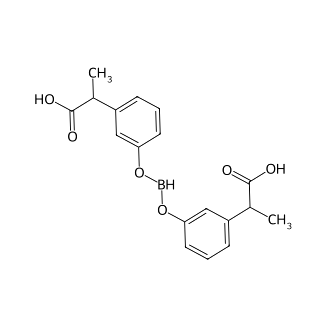 CC(C(=O)O)c1cccc(OBOc2cccc(C(C)C(=O)O)c2)c1